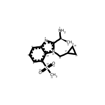 C[C@H](N)c1nc2cccc(S(C)(=O)=O)c2n1CC1CC1